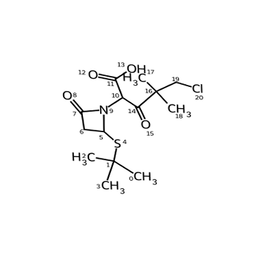 CC(C)(C)SC1CC(=O)N1C(C(=O)O)C(=O)C(C)(C)CCl